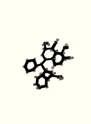 CN1CC(C(c2ccccc2)c2cn(C)c3cnccc23)n2ncc(=O)c(O)c2C1=O